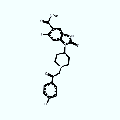 CCc1ccc(C(=O)CN2CCC(n3c(=O)[nH]c4cc(C(=O)NC)c(F)cc43)CC2)cc1